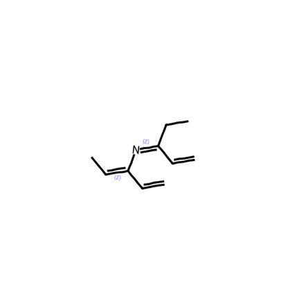 C=CC(=C/C)/N=C(\C=C)CC